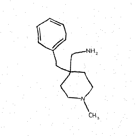 CN1CCC(CN)(Cc2ccccc2)CC1